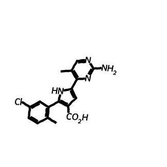 Cc1ccc(Cl)cc1-c1[nH]c(-c2nc(N)ncc2C)cc1C(=O)O